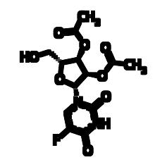 CC(=O)O[C@@H]1[C@H](OC(C)=O)[C@@H](CO)O[C@H]1n1cc(F)c(=O)[nH]c1=O